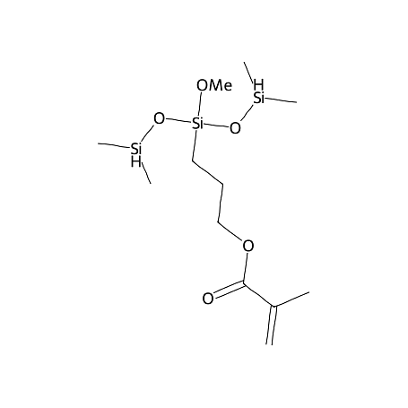 C=C(C)C(=O)OCCC[Si](OC)(O[SiH](C)C)O[SiH](C)C